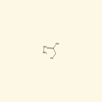 NO.O=C(O)CS